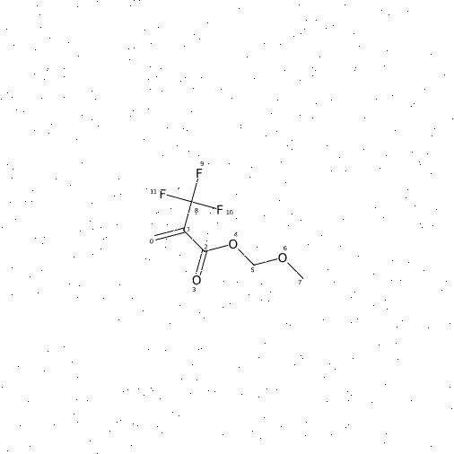 C=C(C(=O)OCOC)C(F)(F)F